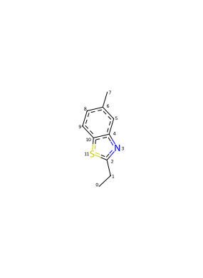 CCc1nc2cc(C)ccc2s1